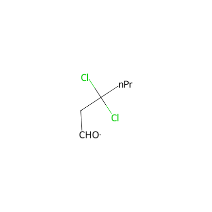 CCCC(Cl)(Cl)C[C]=O